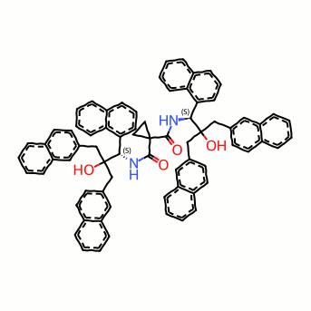 O=C(N[C@@H](c1cccc2ccccc12)C(O)(Cc1ccc2ccccc2c1)Cc1ccc2ccccc2c1)C1(C(=O)N[C@@H](c2cccc3ccccc23)C(O)(Cc2ccc3ccccc3c2)Cc2ccc3ccccc3c2)CC1